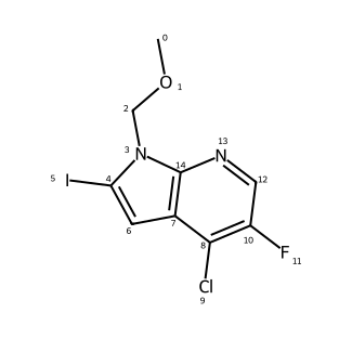 COCn1c(I)cc2c(Cl)c(F)cnc21